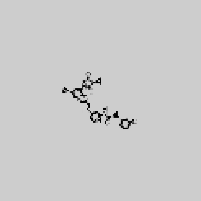 O=C(Nc1cc(NCc2cn3cc(C4CC4)cc(N4CC(=O)N(C5CC5)C4=O)c3n2)ccn1)[C@H]1C[C@@H]1c1cccc(Cl)c1